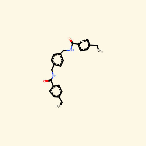 C=Cc1ccc(C(=O)NCc2ccc(CNC(=O)c3ccc(CC)cc3)cc2)cc1